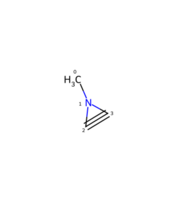 CN1C#C1